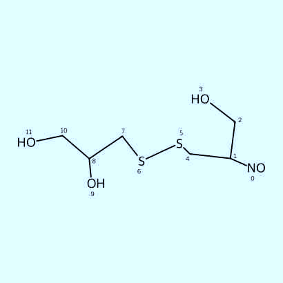 O=NC(CO)CSSCC(O)CO